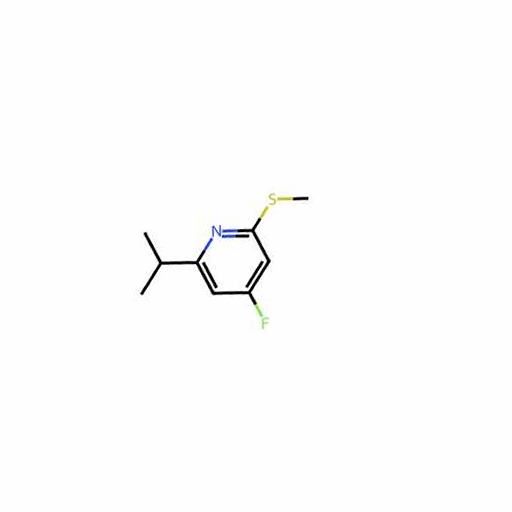 CSc1cc(F)cc(C(C)C)n1